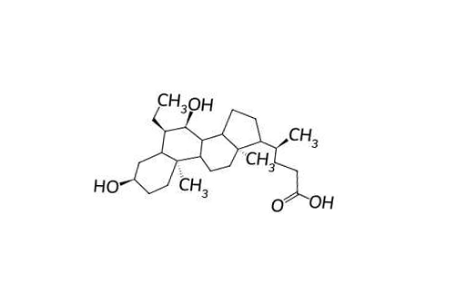 CC[C@@H]1C2C[C@H](O)CC[C@]2(C)C2CC[C@@]3(C)C(CCC3[C@@H](C)CCC(=O)O)C2[C@@H]1O